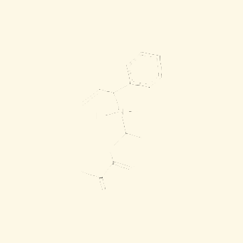 C=CC(c1ccccc1)[N+](CC)(CC)C(C)OC(=O)C(=C)C